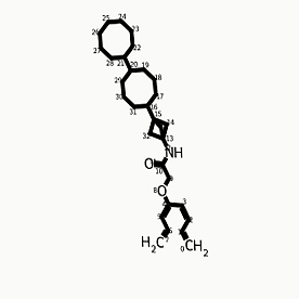 C=C/C=C\C(=C/C=C)OCC(=O)NC12CC(C3CCCC(C4CCCCCCC4)CCC3)(C1)C2